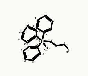 FCCCP(Br)(c1ccccc1)(c1ccccc1)c1ccccc1